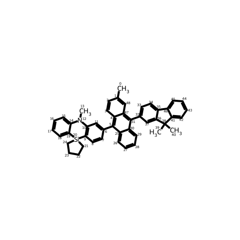 Cc1ccc2c(-c3ccc4c(c3)N(C)c3ccccc3[Si]43CCCC3)c3ccccc3c(-c3ccc4c(c3)C(C)(C)c3ccccc3-4)c2c1